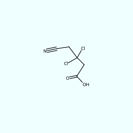 N#CCC(Cl)(Cl)CC(=O)O